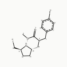 COC(=O)N(Cc1ccc(F)cc1)C[C@@H]1CC[C@@H](CI)O1